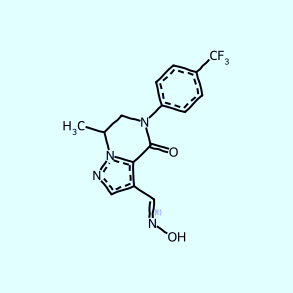 CC1CN(c2ccc(C(F)(F)F)cc2)C(=O)c2c(/C=N/O)cnn21